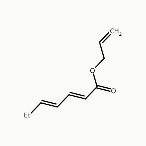 C=CCOC(=O)C=CC=CCC